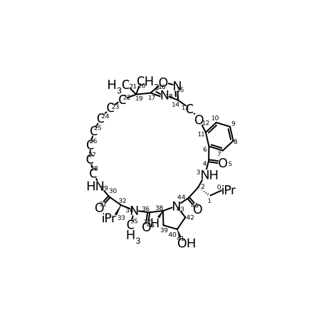 CC(C)C[C@H]1NC(=O)c2ccccc2OCc2noc(n2)C(C)(C)CCCCCCCNC(=O)[C@H](C(C)C)N(C)C(=O)[C@H]2C[C@H](O)CN2C1=O